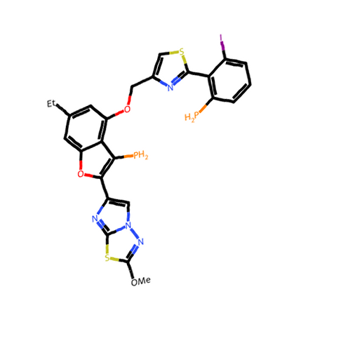 CCc1cc(OCc2csc(-c3c(P)cccc3I)n2)c2c(P)c(-c3cn4nc(OC)sc4n3)oc2c1